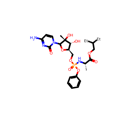 CCC(CC)COC(=O)[C@H](C)NP(=O)(OC[C@H]1OC(n2ccc(N)nc2=O)[C@](C)(O)[C@@H]1O)Oc1ccccc1